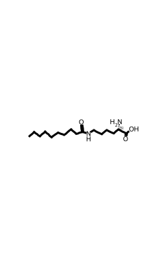 CCCCCCCCCC(=O)NCCCC[C@H](N)C(=O)O